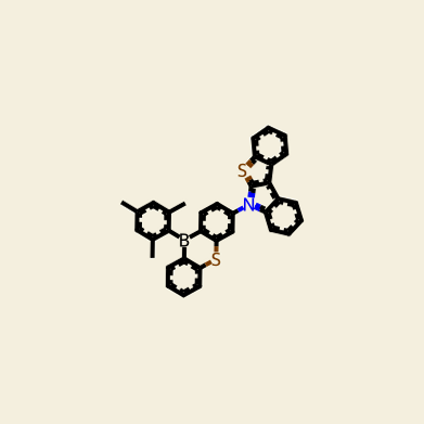 Cc1cc(C)c(B2c3ccccc3Sc3cc(-n4c5ccccc5c5c6ccccc6sc54)ccc32)c(C)c1